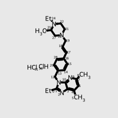 CCc1nc2c(C)cc(C)nc2n1Cc1ccc(/C=C/CN2CCN(CC)C(C)C2)cc1.Cl.Cl